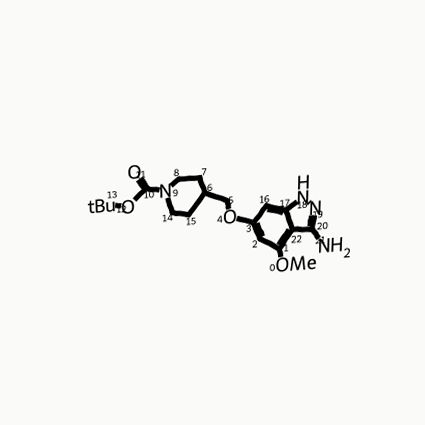 COc1cc(OCC2CCN(C(=O)OC(C)(C)C)CC2)cc2[nH]nc(N)c12